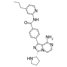 CCCc1ccnc(NC(=O)c2ccc(-c3nc([C@@H]4CCCN4)n4ccnc(N)c34)cc2)c1